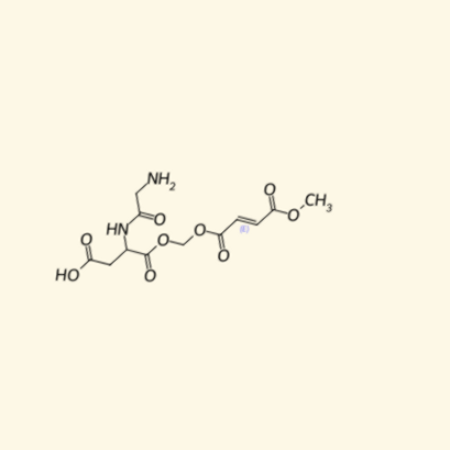 COC(=O)/C=C/C(=O)OCOC(=O)C(CC(=O)O)NC(=O)CN